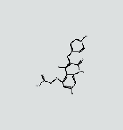 Cc1cc(OCC(=O)O)c2c(C)c(Cc3ccc(Cl)cc3)c(=O)n(C)c2c1